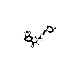 C[C@H](C(=O)c1ccc2c(c1)OCO2)N(C)C(=O)OCCN1CCN(C)CC1